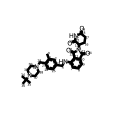 Cc1cc(CNc2cccc3c2C(=O)N(C2CCC(=O)NC2=O)C3=O)ccc1CN1CCN(C(C)(C)C)CC1